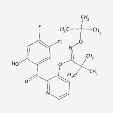 CC(C)(C)ON=C(Oc1cccnc1C(=O)c1cc(Cl)c(F)cc1O)C(C)(C)C